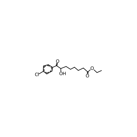 CCOC(=O)CCCCCC(O)C(=O)c1ccc(Cl)cc1